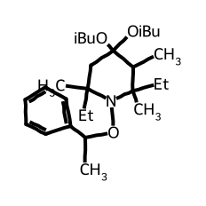 CCC1(C)CC(OCC(C)C)(OCC(C)C)C(C)C(C)(CC)N1OC(C)c1ccccc1